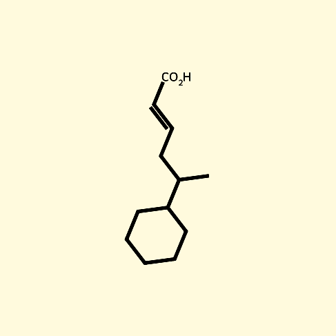 CC(C/C=C/C(=O)O)C1CCCCC1